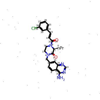 CCC[C@H]1C(=O)N(Cc2ccc3c(N)ncnc3c2)CCN1C(=O)C=Cc1cccc(Cl)c1